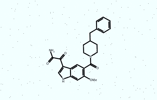 COc1cc2[nH]cc(C(=O)C(N)=O)c2cc1C(=O)N1CCC(Cc2ccccc2)CC1